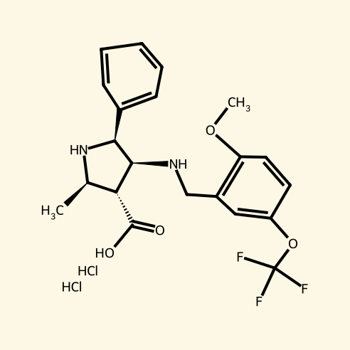 COc1ccc(OC(F)(F)F)cc1CN[C@H]1[C@H](C(=O)O)[C@@H](C)N[C@H]1c1ccccc1.Cl.Cl